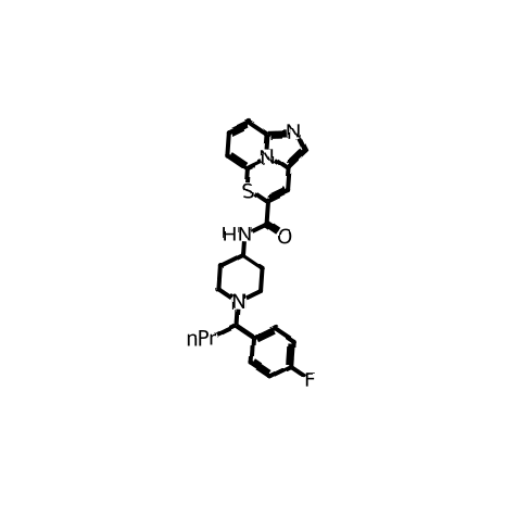 CCCC(c1ccc(F)cc1)N1CCC(NC(=O)C2=Cc3cnc4cccc(n34)S2)CC1